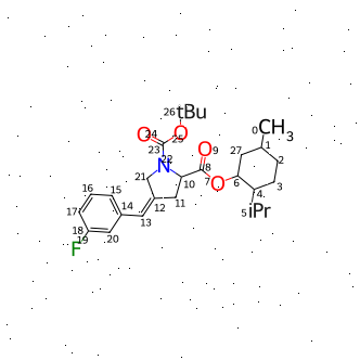 CC1CCC(C(C)C)C(OC(=O)C2CC(=Cc3cccc(F)c3)CN2C(=O)OC(C)(C)C)C1